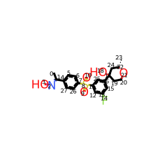 CC(=NO)c1ccc(S(=O)(=O)c2cc(F)cc([C@@]3(O)CCO[C@@H](C)C3)c2)cc1